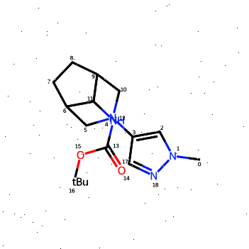 Cn1cc(N2CC3CCC(C2)C3NC(=O)OC(C)(C)C)cn1